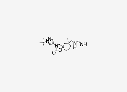 CC(C)(C)n1cc(N2C[C@@]3(CCC[C@](C)(CNC=N)C3)OC2=O)cn1